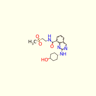 CS(=O)(=O)CCNC(=O)c1cccc2cnc(N[C@H]3CC[C@H](O)CC3)nc12